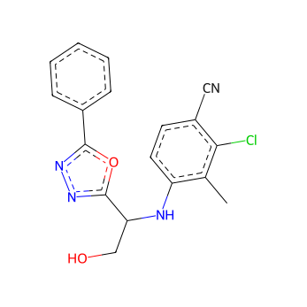 Cc1c(NC(CO)c2nnc(-c3ccccc3)o2)ccc(C#N)c1Cl